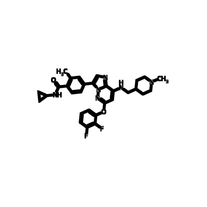 Cc1cc(-c2cnc3c(NCC4CCN(C)CC4)cc(Oc4cccc(F)c4F)nn23)ccc1C(=O)NC1CC1